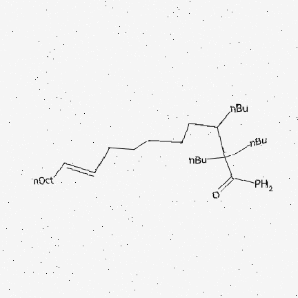 CCCCCCCCC=CCCCCCC(CCCC)C(CCCC)(CCCC)C(=O)P